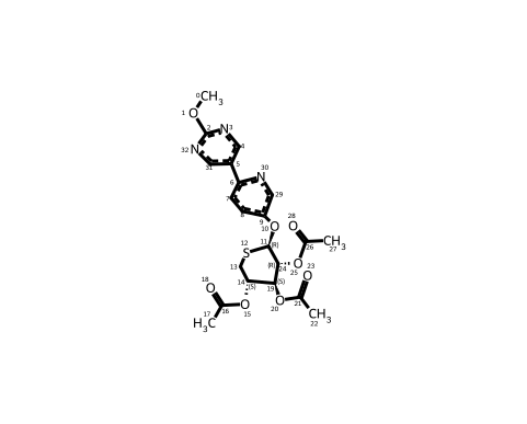 COc1ncc(-c2ccc(O[C@@H]3SC[C@@H](OC(C)=O)[C@H](OC(C)=O)[C@H]3OC(C)=O)cn2)cn1